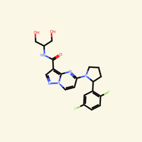 O=C(NC(CO)CO)c1cnn2ccc(N3CCCC3c3cc(F)ccc3F)nc12